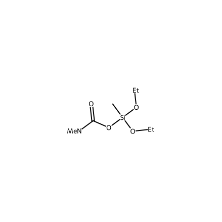 CCO[Si](C)(OCC)OC(=O)NC